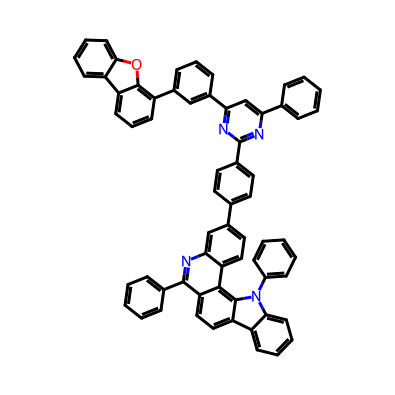 c1ccc(-c2cc(-c3cccc(-c4cccc5c4oc4ccccc45)c3)nc(-c3ccc(-c4ccc5c(c4)nc(-c4ccccc4)c4ccc6c7ccccc7n(-c7ccccc7)c6c45)cc3)n2)cc1